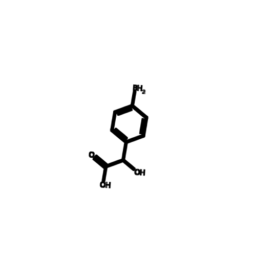 Bc1ccc(C(O)C(=O)O)cc1